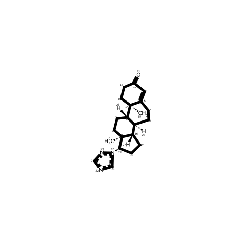 C[C@]12CC[C@H]3[C@@H](CCC4=CC(=O)CC[C@@]43C)[C@@H]1CC[C@@H]2n1cncn1